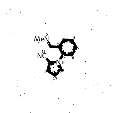 CNCc1ccccc1-n1cccc1C#N